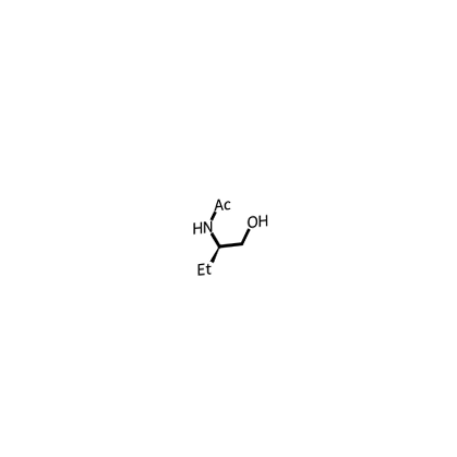 CC[C@H](CO)NC(C)=O